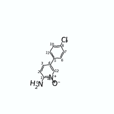 Nc1ccc(-c2ccc(Cl)cc2)c[n+]1[O-]